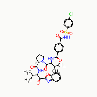 CC(C)C(NC(=O)[C@@H]1CCCN1C(=O)C(NC(=O)c1ccc(C(=O)NS(=O)(=O)c2ccc(Cl)cc2)cc1)C(C)C)C(=O)c1nc2ccccc2o1